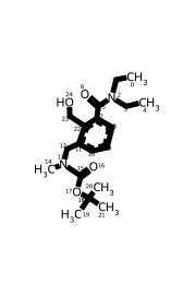 CCN(CC)C(=O)c1cccc(CN(C)C(=O)OC(C)(C)C)c1CO